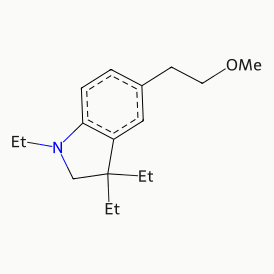 CCN1CC(CC)(CC)c2cc(CCOC)ccc21